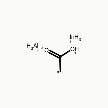 CC(=O)O.[AlH3].[InH3]